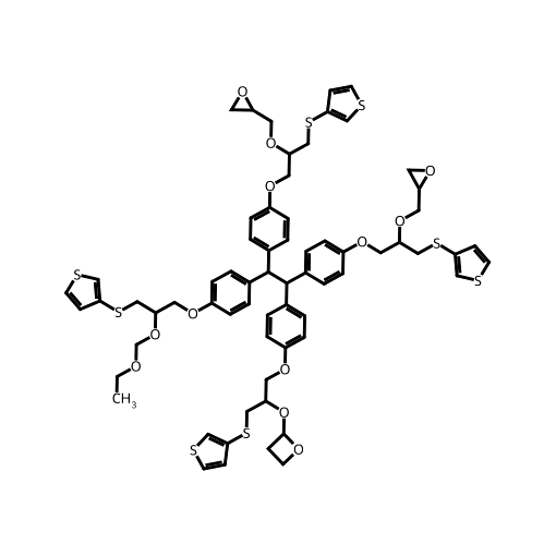 CCOCOC(COc1ccc(C(c2ccc(OCC(CSc3ccsc3)OCC3CO3)cc2)C(c2ccc(OCC(CSc3ccsc3)OCC3CO3)cc2)c2ccc(OCC(CSc3ccsc3)OC3CCO3)cc2)cc1)CSc1ccsc1